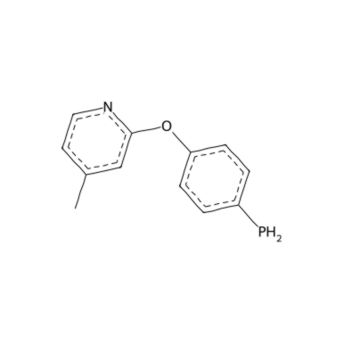 Cc1ccnc(Oc2ccc(P)cc2)c1